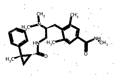 CNC(=O)c1cc(C)c(C[C@@H](CNC(=O)[C@@H]2C[C@]2(C)c2ccccc2)N(C)C)c(C)c1